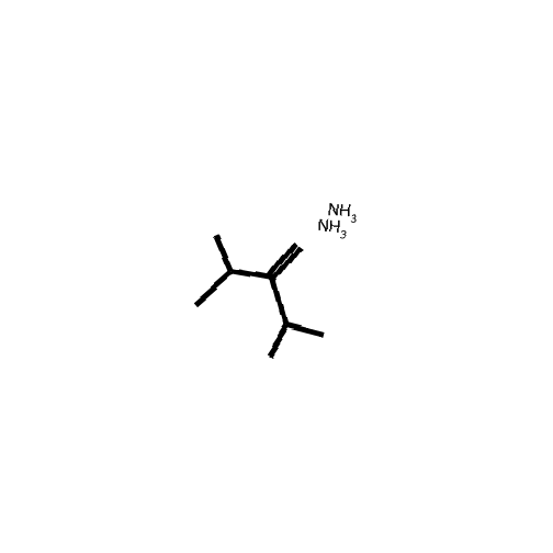 C=C(C(C)C)C(C)C.N.N